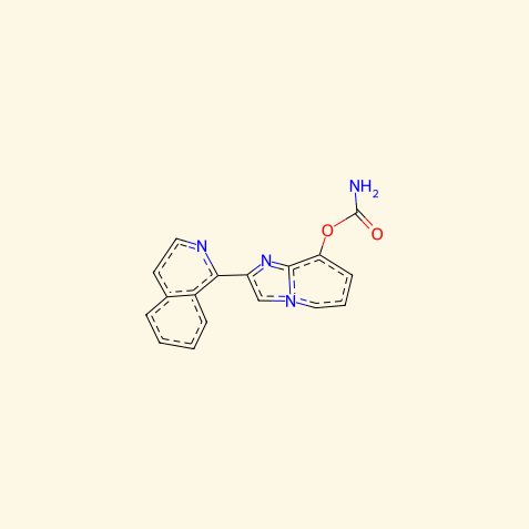 NC(=O)Oc1cccn2cc(-c3nccc4ccccc34)nc12